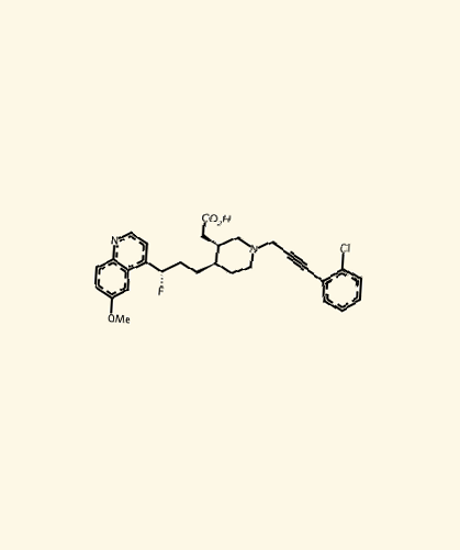 COc1ccc2nccc([C@@H](F)CC[C@@H]3CCN(CC#Cc4ccccc4Cl)C[C@@H]3CC(=O)O)c2c1